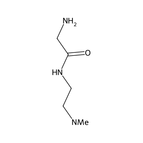 CNCCNC(=O)CN